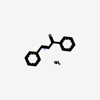 N.O=C(/C=C/c1ccccc1)c1ccccc1